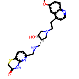 COc1ccc2nccc(CCN3C[C@H](CNCc4ccc5c(n4)NC(=O)CS5)[C@H](O)C3)c2c1